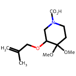 C=C(C)COC1CN(C(=O)O)CCC1(OC)OC